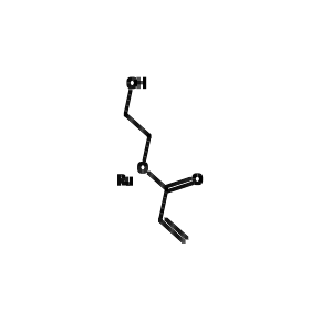 C=CC(=O)OCCO.[Ru]